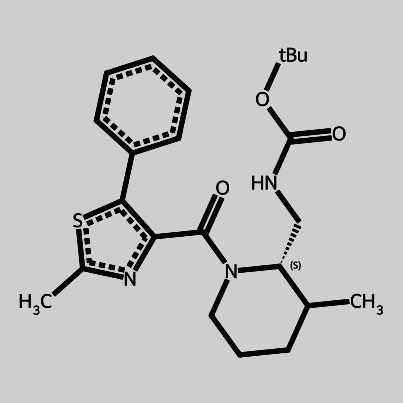 Cc1nc(C(=O)N2CCCC(C)[C@H]2CNC(=O)OC(C)(C)C)c(-c2ccccc2)s1